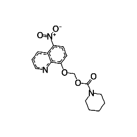 O=C(OCOc1ccc([N+](=O)[O-])c2cccnc12)N1CCCCC1